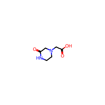 O=C(O)CN1CCNC(=O)C1